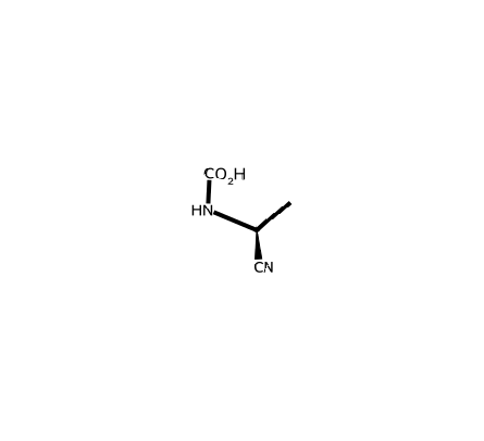 C[C@@H](C#N)NC(=O)O